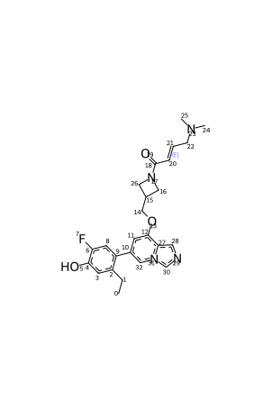 CCc1cc(O)c(F)cc1-c1cc(OCC2CN(C(=O)/C=C/CN(C)C)C2)c2cncn2c1